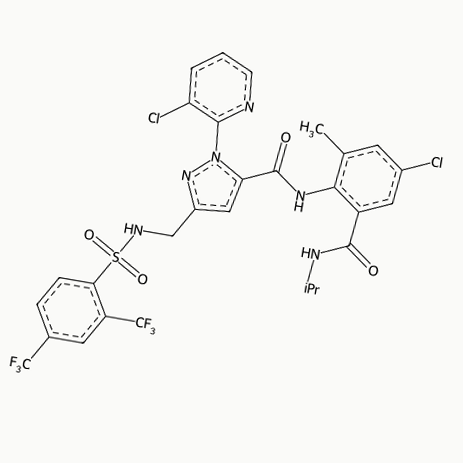 Cc1cc(Cl)cc(C(=O)NC(C)C)c1NC(=O)c1cc(CNS(=O)(=O)c2ccc(C(F)(F)F)cc2C(F)(F)F)nn1-c1ncccc1Cl